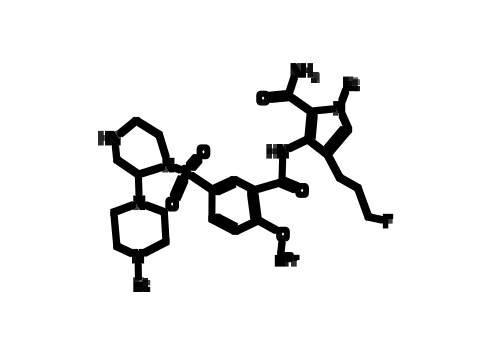 CCCOc1ccc(S(=O)(=O)N2CCNCC2N2CCN(CC)CC2)cc1C(=O)Nc1c(CCCF)cn(CC)c1C(N)=O